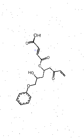 C=CC(=O)CC(CC(O)COc1ccccc1)OC(=O)/C=C/C(=O)O